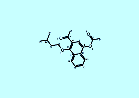 CC(=O)Oc1cc(C(C)=O)c(OCCC(C)C)c2ccccc12